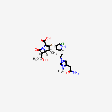 C[C@@H](O)[C@H]1C(=O)N2C(C(=O)O)=C(S[C@@H]3CN[C@H](CC[n+]4cc(CC(N)=O)n(C)c4)C3)[C@H](C)[C@H]12.[Cl-]